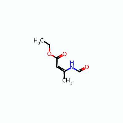 CCOC(=O)C=C(C)NC=O